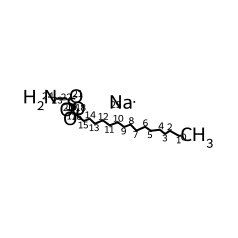 CCCCCCCCCCCCCCCCC(=O)OS(=O)(=O)CCN.[Na]